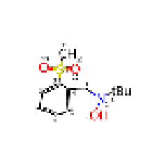 CC(C)(C)N(O)Cc1ccccc1S(C)(=O)=O